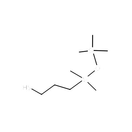 C[Si](C)(C)O[Si](C)(C)CCCS